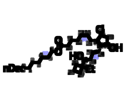 CCCCCCCCCCCCC/C=C/COC(=O)CCC/C=C\C[C@@H]1[C@@H](/C=C/C[C@H](O)C2(CC)CCC2)[C@H](O)C[C@H]1Cl